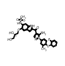 Cc1cc(-n2ncc(C(=O)c3cc4cc(OC[C@@H](O)CO)c(NS(C)(=O)=O)cc4[nH]3)c2N)ccc1Oc1ccccc1F